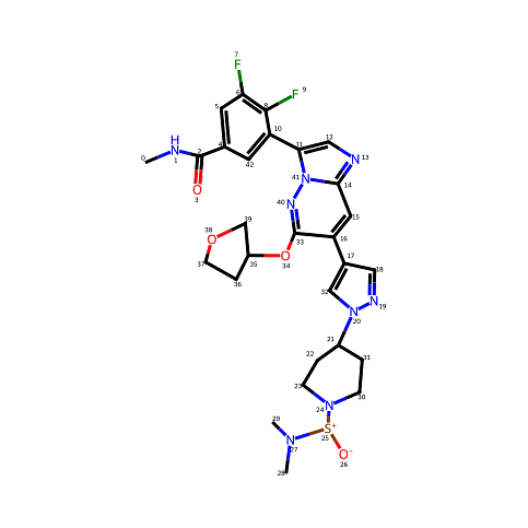 CNC(=O)c1cc(F)c(F)c(-c2cnc3cc(-c4cnn(C5CCN([S+]([O-])N(C)C)CC5)c4)c(OC4CCOC4)nn23)c1